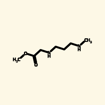 CNCCCNCC(=O)OC